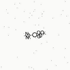 Cc1ncc(-c2ccc(OC(=O)OC(C)(C)C)c(=O)cc2)c(C)n1